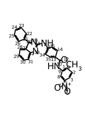 Cc1ccc([N+](=O)[O-])cc1NC(=O)c1ccc(Nc2nc(-c3ccccc3)c3ccccc3n2)cc1